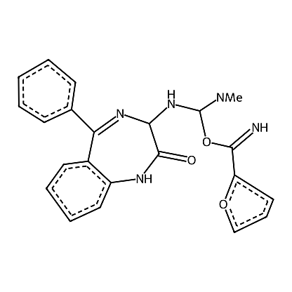 CNC(NC1N=C(c2ccccc2)c2ccccc2NC1=O)OC(=N)c1ccco1